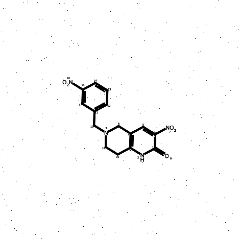 O=c1[nH]c2c(cc1[N+](=O)[O-])CN(Cc1cccc([N+](=O)[O-])c1)CC2